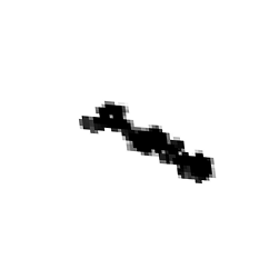 O=C(N[C@@H](Cc1ccccc1)C(=O)O)c1ccc2cc(OCc3cccc([N+](=O)[O-])c3)ccc2c1